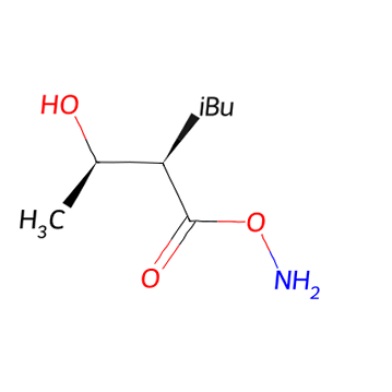 CCC(C)[C@@H](C(=O)ON)[C@@H](C)O